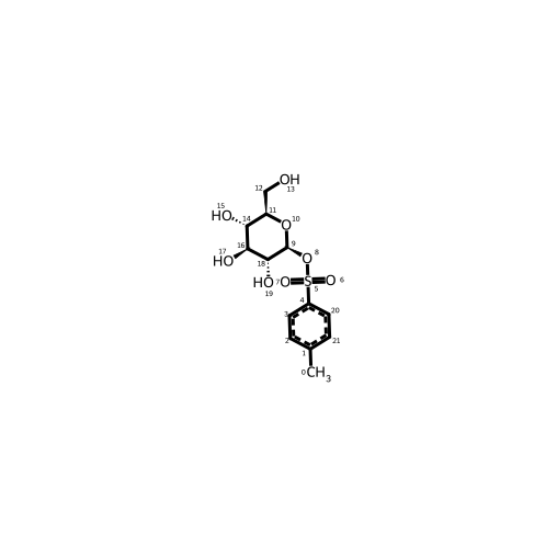 Cc1ccc(S(=O)(=O)O[C@@H]2O[C@H](CO)[C@@H](O)[C@H](O)[C@H]2O)cc1